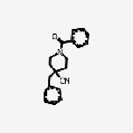 N#CC1(Cc2ccccc2)CCN(C(=O)c2ccccc2)CC1